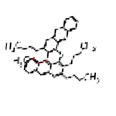 CCCCc1cc2cc3ccccc3cc2c(Sc2c(CCCC)c(CCCC)cc3cc4ccccc4cc23)c1CCCC